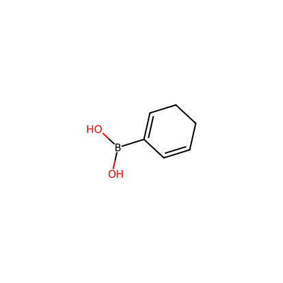 OB(O)C1=CCCC=C1